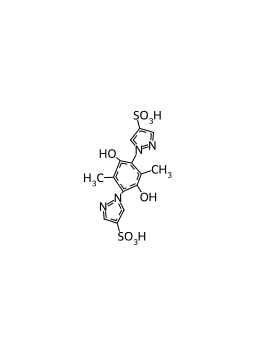 Cc1c(O)c(-n2cc(S(=O)(=O)O)cn2)c(C)c(O)c1-n1cc(S(=O)(=O)O)cn1